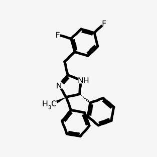 C[C@@]1(c2ccccc2)N=C(Cc2ccc(F)cc2F)N[C@@H]1c1ccccc1